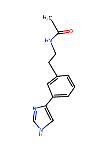 CC(=O)NCCc1cccc(-c2c[nH]cn2)c1